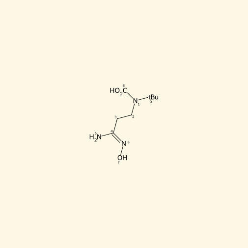 CC(C)(C)N(CCC(N)=NO)C(=O)O